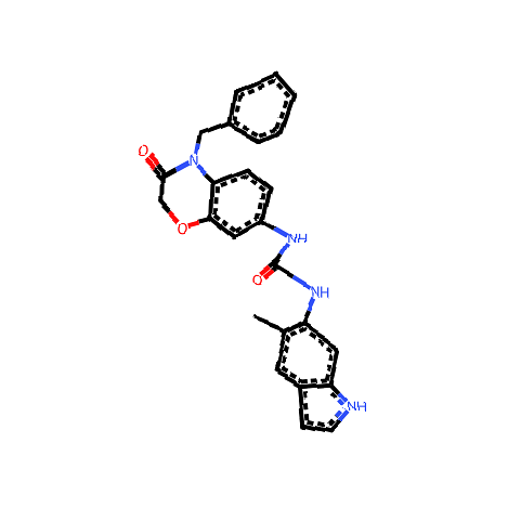 Cc1cc2cc[nH]c2cc1NC(=O)Nc1ccc2c(c1)OCC(=O)N2Cc1ccccc1